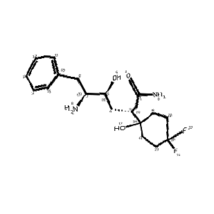 NC(=O)[C@@H](C[C@H](O)[C@@H](N)Cc1ccccc1)C1(O)CCC(F)(F)CC1